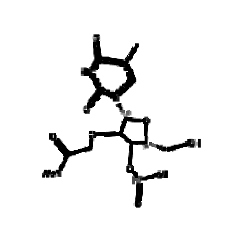 CNC(=O)COC1C(O[PH](=O)S)[C@@H](CO)O[C@H]1n1cc(C)c(=O)[nH]c1=O